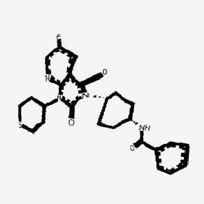 O=C(N[C@H]1CC[C@@H](n2c(=O)c3cc(F)cnc3n(C3CCSCC3)c2=O)CC1)c1ccccc1